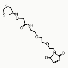 O=C(CON=C1CSCSC1)NCCOCCOCCN1C(=O)C=CC1=O